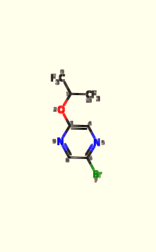 FC(F)(F)C(Oc1cnc(Br)cn1)C(F)(F)F